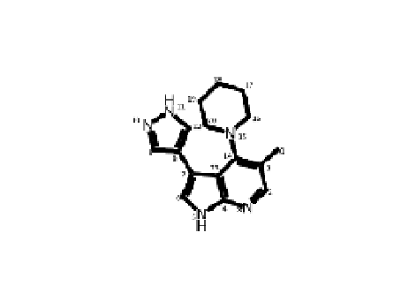 Cc1cnc2[nH]cc(-c3cn[nH]c3)c2c1N1CCCCC1